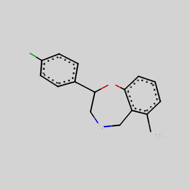 COc1cccc2c1CNCC(c1ccc(Cl)cc1)O2